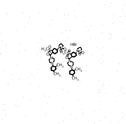 Br.Cc1ccc(N2CCN(C(=O)c3ccc(N4CCCS4(=O)=O)cc3S(C)(=O)=O)CC2)c(C)c1.Cc1ccc(N2CCN(C(=O)c3ccc(N4CCCS4(=O)=O)cc3S(C)(=O)=O)CC2)c(C)c1